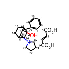 O=C(O)C=CC(=O)O.OC1(c2ccccc2)C2CCC(CC2)C1N1CCCC1